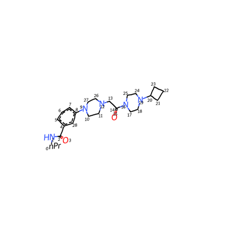 CCCNC(=O)c1cccc(N2CCN(CC(=O)N3CCN(C4CCC4)CC3)CC2)c1